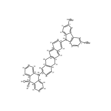 CC(C)(C)c1ccc2c(c1)c1cc(C(C)(C)C)ccc1n2-c1ccc2cc3c(cc2c1)Cc1ccc(N2c4ccccc4S(=O)(=O)c4ccccc42)cc1C3